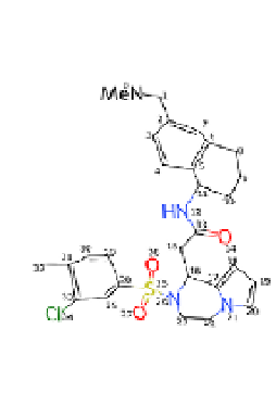 CNCc1ccc2c(c1)CCCC2NC(=O)CC1c2cccn2CCN1S(=O)(=O)c1ccc(C)c(Cl)c1